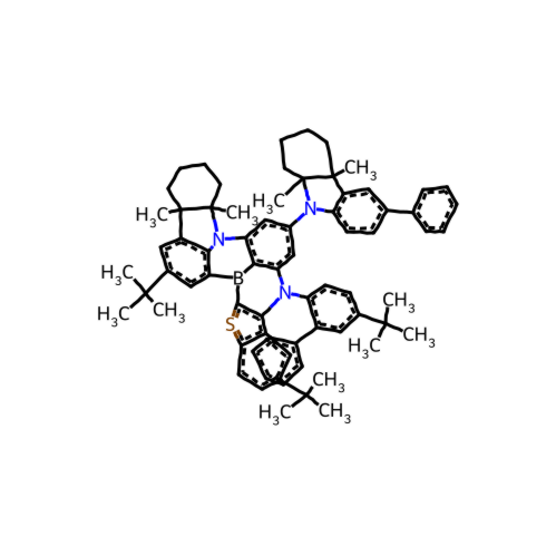 CC(C)(C)c1ccc(N2c3cc(N4c5ccc(-c6ccccc6)cc5C5(C)CCCCC45C)cc4c3B(c3cc(C(C)(C)C)cc5c3N4C3(C)CCCCC53C)c3sc4ccc(C(C)(C)C)cc4c32)c(-c2ccccc2)c1